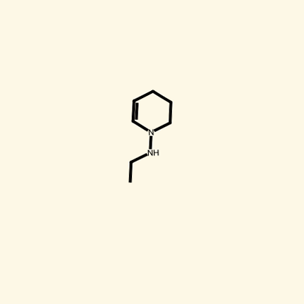 CCNN1C=CCCC1